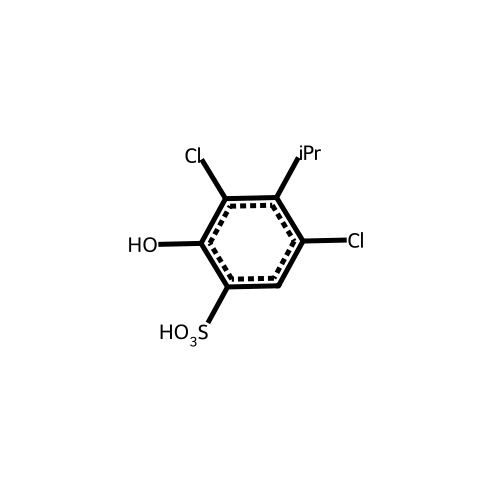 CC(C)c1c(Cl)cc(S(=O)(=O)O)c(O)c1Cl